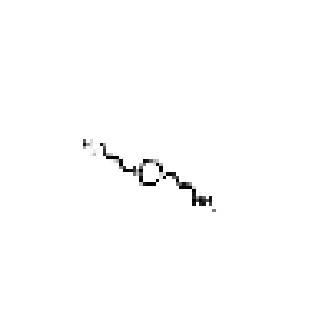 NC=CCN1CCN(CC=CN)CC1